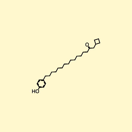 O=C(CCCCCCCCCCCCCCc1ccc(O)cc1)CC1CCC1